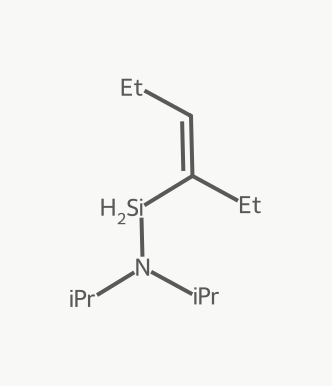 CCC=C(CC)[SiH2]N(C(C)C)C(C)C